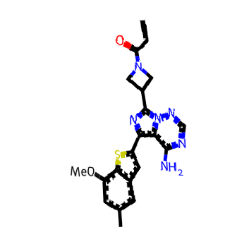 C=CC(=O)N1CC(c2nc(-c3cc4cc(C)cc(OC)c4s3)c3c(N)ncnn23)C1